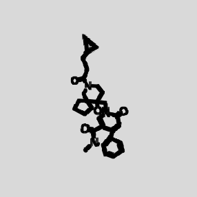 CN(C)C(=O)c1cn(CC2(O)CCN(C(=O)CCC3CC3)CC23CCCC3)c(=O)cc1-c1ccccc1